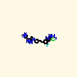 Cn1cc(-c2ncnc3c2ccn3C2C=C(CCc3cc(F)c4cc(Cl)c(N)nc4c3)CC2)cn1